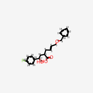 O=C(O)C(CC=CCOCc1ccccc1)CC(O)c1ccc(F)cc1